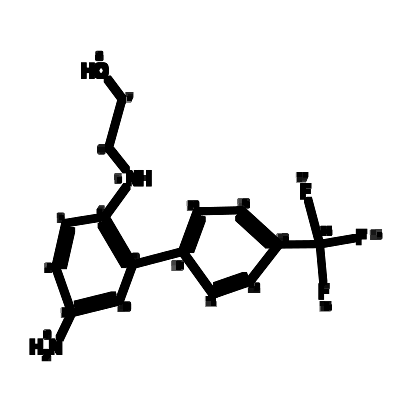 Nc1ccc(NCCO)c(-c2ccc(C(F)(F)F)cc2)c1